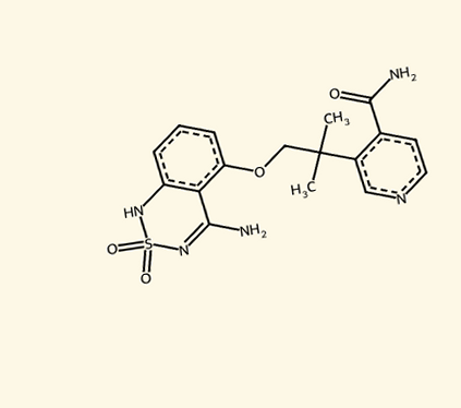 CC(C)(COc1cccc2c1C(N)=NS(=O)(=O)N2)c1cnccc1C(N)=O